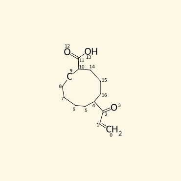 C=CC(=O)C1CCCCCC(C(=O)O)CCC1